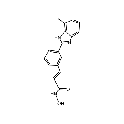 Cc1cccc2nc(-c3cccc(C=CC(=O)NO)c3)[nH]c12